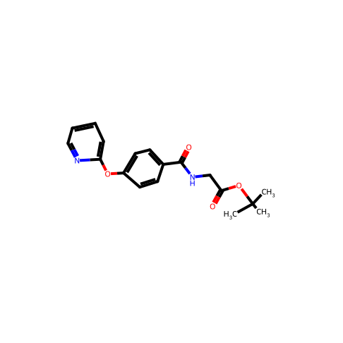 CC(C)(C)OC(=O)CNC(=O)c1ccc(Oc2ccccn2)cc1